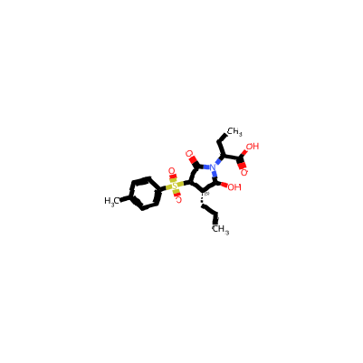 CCC[C@H]1C(O)N(C(CC)C(=O)O)C(=O)C1S(=O)(=O)c1ccc(C)cc1